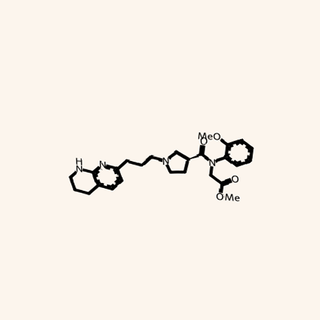 COC(=O)CN(C(=O)[C@H]1CCN(CCCc2ccc3c(n2)NCCC3)C1)c1ccccc1OC